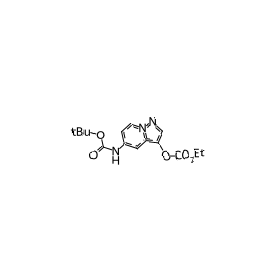 CCOC(=O)Oc1cnn2ccc(NC(=O)OC(C)(C)C)cc12